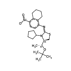 C[C@@H](OC(C)(C)C)[C@@H]1CSC(=Nc2ccc([N+](=O)[O-])c3c2CCCC3)N1C1CCCC1